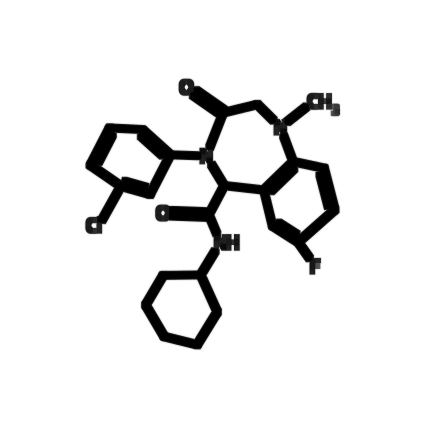 CN1CC(=O)N(c2cccc(Cl)c2)C(C(=O)NC2CCCCC2)c2cc(F)ccc21